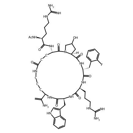 C=C(N)C1CCCNC(=O)CC[C@H](NC(=O)[C@H](CCCNC(=N)N)NC(C)=O)C(=O)N2CC(O)C[C@H]2C(=O)N[C@H](Cc2ccccc2F)C(=O)N[C@@H](CCCNC(=N)N)C(=O)N[C@@H](Cc2c[nH]c3ccccc23)C(=O)N1